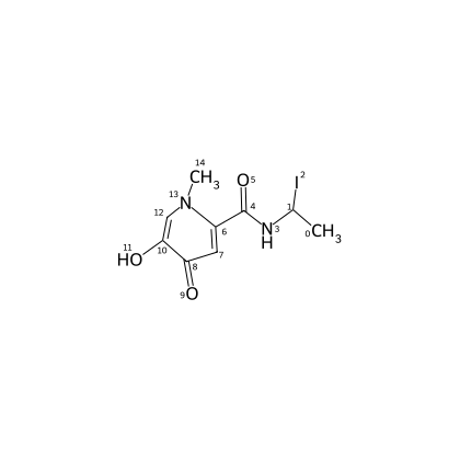 CC(I)NC(=O)c1cc(=O)c(O)cn1C